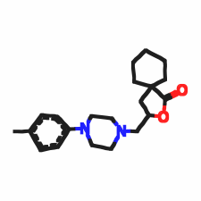 Cc1ccc(N2CCN(CC3CC4(CCCCC4)C(=O)O3)CC2)cc1